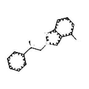 F[C@@H](Cn1cc2c(Br)cccc2n1)c1ccccc1